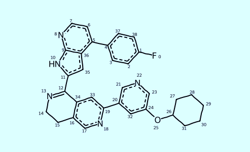 Fc1ccc(-c2ccnc3[nH]c(C4=NCCc5cnc(-c6cncc(OC7CCCCC7)c6)cc54)cc23)cc1